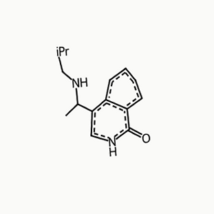 CC(C)CNC(C)c1c[nH]c(=O)c2ccccc12